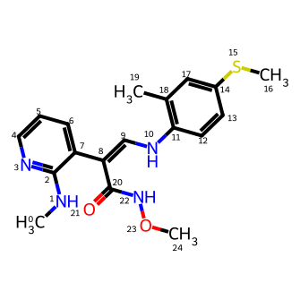 CNc1ncccc1/C(=C/Nc1ccc(SC)cc1C)C(=O)NOC